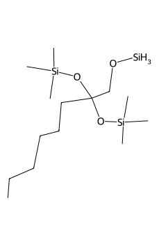 CCCCCCC(CO[SiH3])(O[Si](C)(C)C)O[Si](C)(C)C